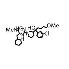 CNCC(CC1CCCCC1)N/C(=N\C#N)N1CCCC(C(O)(CCCCOC)c2cccc(Cl)c2)C1